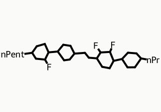 CCCCCC1CCC(C2CCC(CCC3CCC(C4CCC(CCC)CC4)C(F)C3F)CC2)C(F)C1